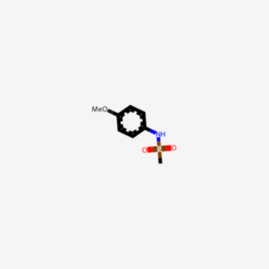 COc1[c]cc(NS(C)(=O)=O)cc1